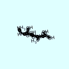 COc1cc(N=Nc2cc(O)c(N=Nc3c(SOOO)cc4cc(NCOc5ccc(N)cc5)ccc4c3O)cc2C)ccc1N=Nc1ccc2cc(SOOO)cc(S(=O)(=O)O)c2c1